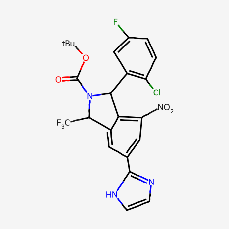 CC(C)(C)OC(=O)N1C(c2cc(F)ccc2Cl)c2c(cc(-c3ncc[nH]3)cc2[N+](=O)[O-])C1C(F)(F)F